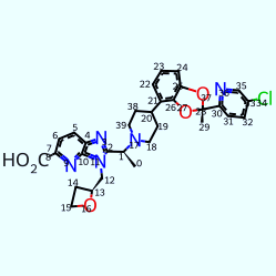 C[C@@H](c1nc2ccc(C(=O)O)nc2n1C[C@@H]1CCO1)N1CCC(c2cccc3c2O[C@@](C)(c2ccc(Cl)cn2)O3)CC1